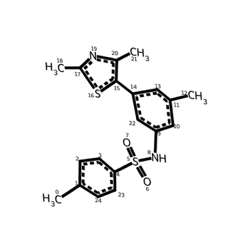 Cc1ccc(S(=O)(=O)Nc2cc(C)cc(-c3sc(C)nc3C)c2)cc1